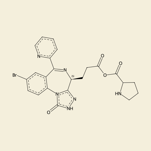 O=C(CC[C@@H]1N=C(c2ccccn2)c2cc(Br)ccc2-n2c1n[nH]c2=O)OC(=O)C1CCCN1